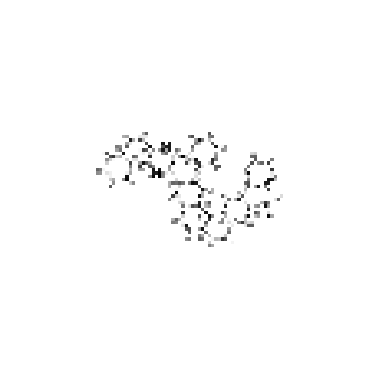 CC1(C)c2ccccc2-c2cc3c(ccc4ccc5cc(-c6nc7c(ccc8ccccc87)nc6-c6ccccc6)ccc5c43)cc21